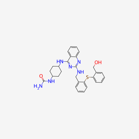 NC(=O)NC1CCC(Nc2nc(NCc3ccccc3Sc3ccccc3CO)nc3ccccc23)CC1